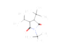 CC(C)C1C(=O)N(C(C)(C)C)C(=O)C1C(C)(C)C